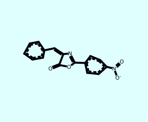 O=C1OC(c2ccc([N+](=O)[O-])cc2)=N/C1=C/c1ccccc1